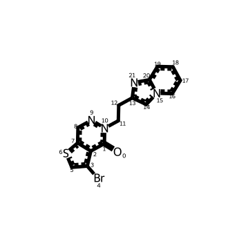 O=c1c2c(Br)csc2cnn1CCc1cn2ccccc2n1